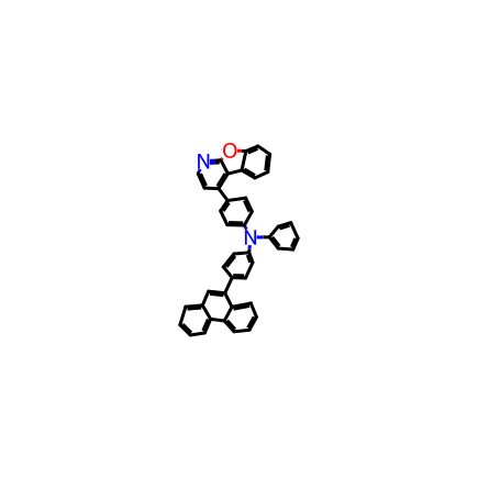 c1ccc(N(c2ccc(-c3cc4ccccc4c4ccccc34)cc2)c2ccc(-c3ccnc4oc5ccccc5c34)cc2)cc1